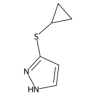 c1cc(SC2CC2)n[nH]1